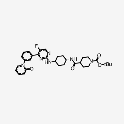 CC(C)(C)OC(=O)N1CCC(C(=O)N[C@H]2CC[C@H](Nc3ncc(F)c(-c4cccc(-n5ccccc5=O)c4)n3)CC2)CC1